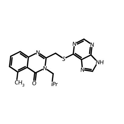 Cc1cccc2nc(CSc3ncnc4[nH]cnc34)n(CC(C)C)c(=O)c12